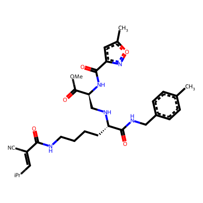 COC(=O)[C@H](CN[C@@H](CCCCNC(=O)C(C#N)=CC(C)C)C(=O)NCc1ccc(C)cc1)NC(=O)c1cc(C)on1